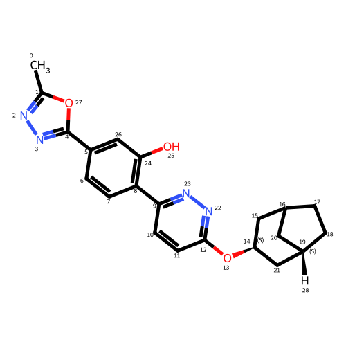 Cc1nnc(-c2ccc(-c3ccc(O[C@H]4CC5CC[C@@H](C5)C4)nn3)c(O)c2)o1